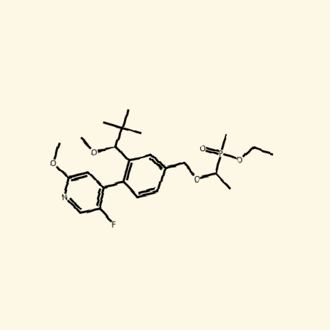 CCOP(C)(=O)C(C)OCc1ccc(-c2cc(OC)ncc2F)c([C@@H](OC)C(C)(C)C)c1